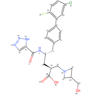 O=C(N[C@H](Cc1ccc(-c2cc(Cl)ccc2F)cc1)C[C@@H](CN1CC(CO)C1)C(=O)O)c1cnn[nH]1